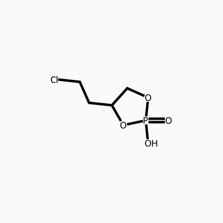 O=P1(O)OCC(CCCl)O1